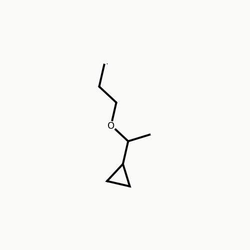 [CH2]CCOC(C)C1CC1